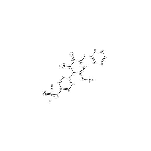 CC(C)(C)OC(=O)C(c1ccc(OS(C)(=O)=O)cc1)C(N)C(=O)OCc1ccccc1